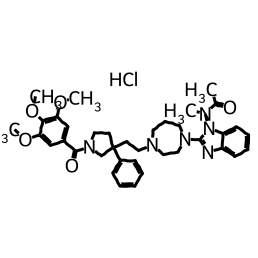 COc1cc(C(=O)N2CCC(CCN3CCCN(c4nc5ccccc5n4N(C)C(C)=O)CC3)(c3ccccc3)C2)cc(OC)c1OC.Cl